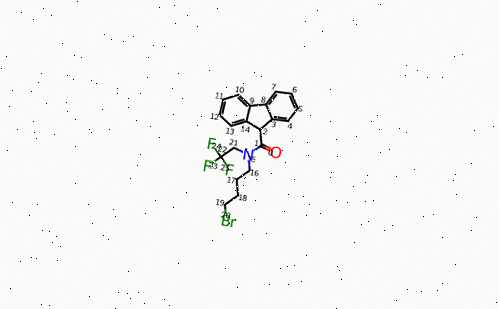 O=C(C1c2ccccc2-c2ccccc21)N(CCCCBr)CC(F)(F)F